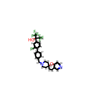 OC(c1ccc(-c2ccc(CN3CCC4(CCc5cnccc5O4)CC3)cc2)c(F)c1)(C(F)(F)F)C(F)(F)F